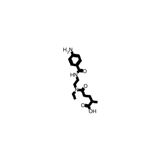 CCN(CCNC(=O)c1ccc(N)cc1)C(=O)CCC(C)C(=O)O